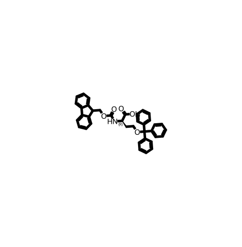 O=C(N[C@H](CCOC(c1ccccc1)(c1ccccc1)c1ccccc1)C(=O)O)OCC1c2ccccc2-c2ccccc21